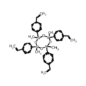 C=Cc1ccc([Si]2(C)O[Si](C)(c3ccc(C=C)cc3)O[Si](C)(c3ccc(C=C)cc3)O[Si](C)(c3ccc(C=C)cc3)O2)cc1